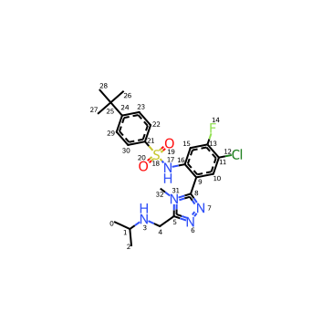 CC(C)NCc1nnc(-c2cc(Cl)c(F)cc2NS(=O)(=O)c2ccc(C(C)(C)C)cc2)n1C